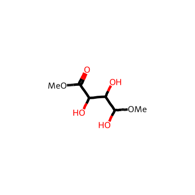 COC(=O)C(O)C(O)C(O)OC